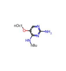 CCCCCCCCOc1cnc(N)nc1NCCCC